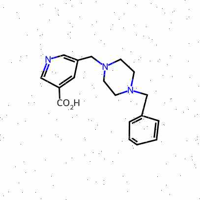 O=C(O)c1cncc(CN2CCN(Cc3ccccc3)CC2)c1